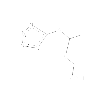 CC(SCC(=O)O)Sc1nnn[nH]1